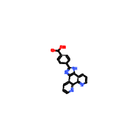 O=C(O)c1ccc(-c2nc3c4cccnc4c4ncccc4c3[nH]2)cc1